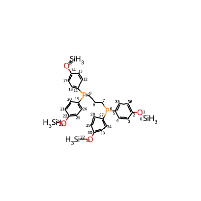 [SiH3]Oc1ccc(P(CCCP(c2ccc(O[SiH3])cc2)c2ccc(O[SiH3])cc2)c2ccc(O[SiH3])cc2)cc1